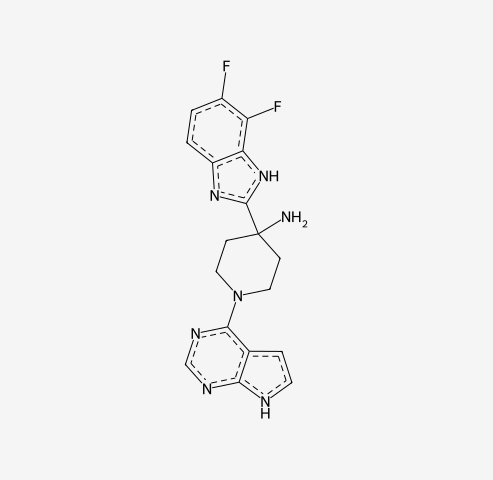 NC1(c2nc3ccc(F)c(F)c3[nH]2)CCN(c2ncnc3[nH]ccc23)CC1